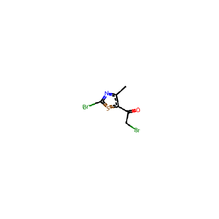 Cc1nc(Br)sc1C(=O)CBr